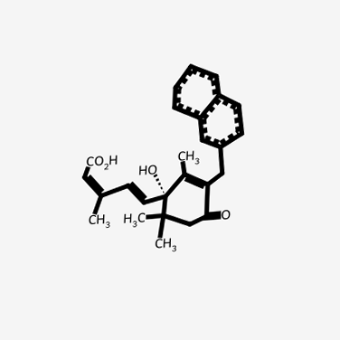 CC1=C(Cc2ccc3ccccc3c2)C(=O)CC(C)(C)[C@@]1(O)/C=C/C(C)=C\C(=O)O